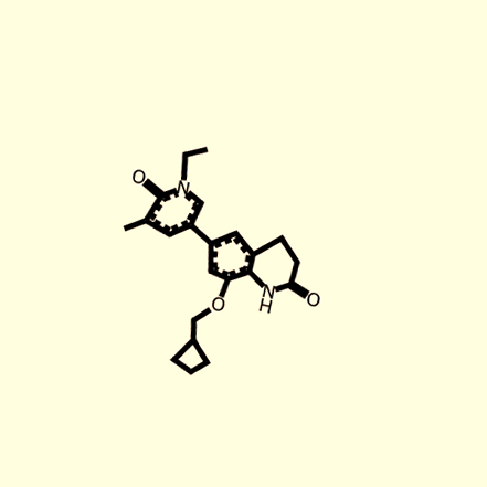 CCn1cc(-c2cc3c(c(OCC4CCC4)c2)NC(=O)CC3)cc(C)c1=O